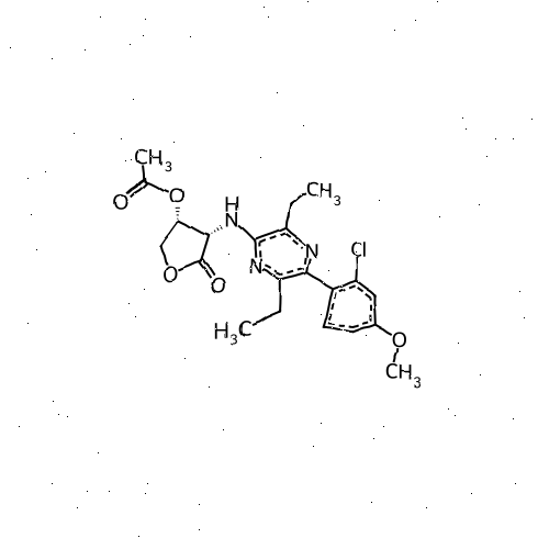 CCc1nc(-c2ccc(OC)cc2Cl)c(CC)nc1N[C@@H]1C(=O)OC[C@@H]1OC(C)=O